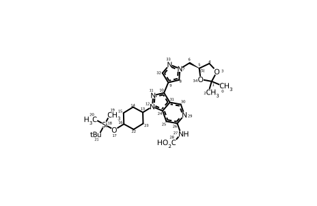 CC1(C)OC[C@H](Cn2cc(-c3nn(C4CCC(O[Si](C)(C)C(C)(C)C)CC4)c4cc(NC(=O)O)ncc34)cn2)O1